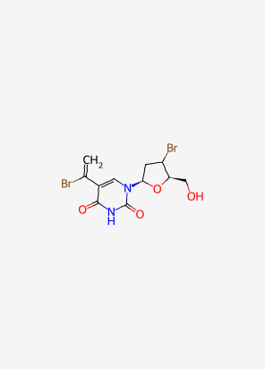 C=C(Br)c1cn([C@H]2CC(Br)[C@@H](CO)O2)c(=O)[nH]c1=O